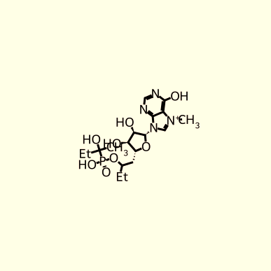 CCC(C[C@H]1O[C@@H](n2c[n+](C)c3c(O)ncnc32)[C@H](O)[C@@H]1O)OP(=O)(O)C(C)(O)CC